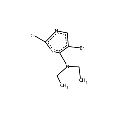 CCN(CC)c1nc(Cl)ncc1Br